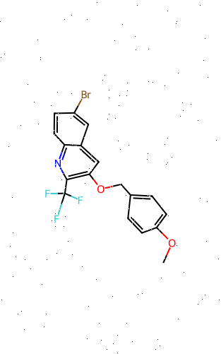 COc1ccc(COc2cc3cc(Br)ccc3nc2C(F)(F)F)cc1